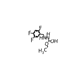 CCOC(O)NNCc1cc(F)c(F)cc1F